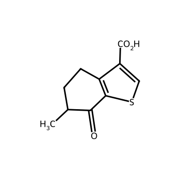 CC1CCc2c(C(=O)O)csc2C1=O